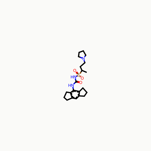 CC(CCN1CCCC1)S(=O)(=O)NC(=O)Nc1c2c(cc3c1CCC3)CCC2